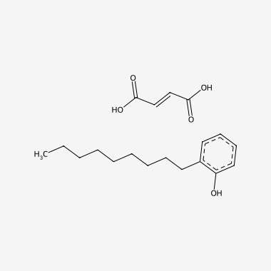 CCCCCCCCCc1ccccc1O.O=C(O)C=CC(=O)O